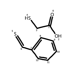 O=C(O)CS.S=Cc1ccccc1